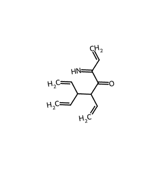 C=CC(=N)C(=O)C(C=C)C(C=C)C=C